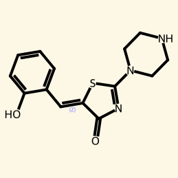 O=C1N=C(N2CCNCC2)S/C1=C\c1ccccc1O